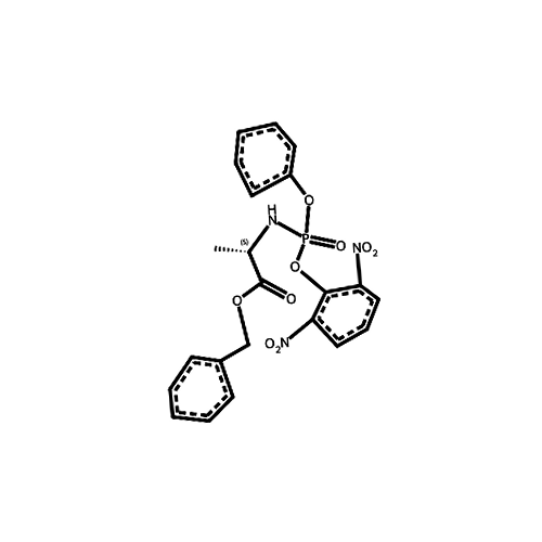 C[C@H](NP(=O)(Oc1ccccc1)Oc1c([N+](=O)[O-])cccc1[N+](=O)[O-])C(=O)OCc1ccccc1